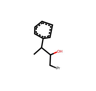 CC(C)CC(O)C(C)c1ccccc1